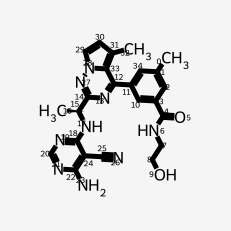 Cc1cc(C(=O)NCCO)cc(-c2nc([C@H](C)Nc3ncnc(N)c3C#N)nn3ccc(C)c23)c1